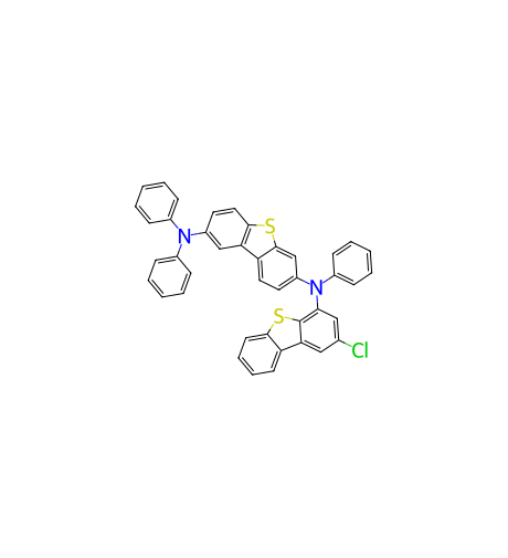 Clc1cc(N(c2ccccc2)c2ccc3c(c2)sc2ccc(N(c4ccccc4)c4ccccc4)cc23)c2sc3ccccc3c2c1